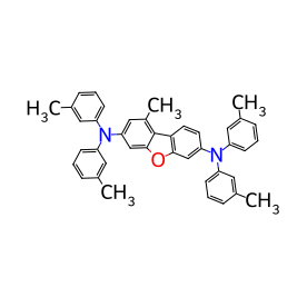 Cc1cccc(N(c2cccc(C)c2)c2ccc3c(c2)oc2cc(N(c4cccc(C)c4)c4cccc(C)c4)cc(C)c23)c1